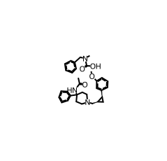 CN(Cc1ccccc1)C(=O)O.COc1cccc([C@H]2C[C@H]2CN2CCC(NC(C)=O)(c3ccccc3)CC2)c1